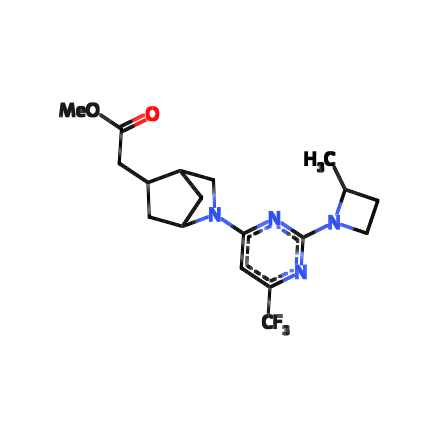 COC(=O)CC1CC2CC1CN2c1cc(C(F)(F)F)nc(N2CCC2C)n1